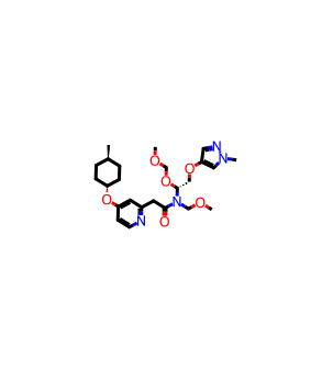 COCO[C@H](COc1cnn(C)c1)N(COC)C(=O)Cc1cc(O[C@H]2CC[C@H](C)CC2)ccn1